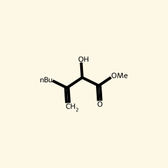 C=C(CCCC)C(O)C(=O)OC